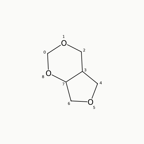 C1OCC2COCC2O1